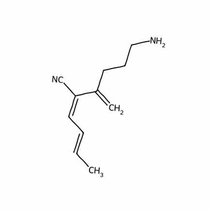 C=C(CCCN)C(C#N)=CC=CC